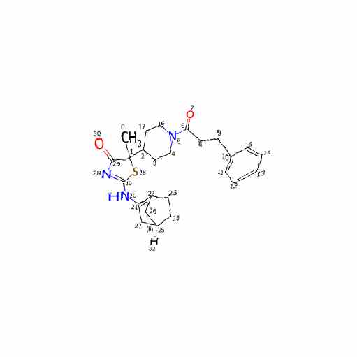 CC1(C2CCN(C(=O)CCc3ccccc3)CC2)SC(NC2=C3CC[C@H](C3)C2)=NC1=O